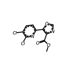 COC(=O)c1ncoc1-c1ccc(Cl)c(Cl)n1